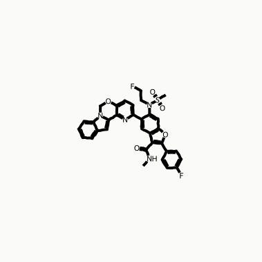 CNC(=O)c1c(-c2ccc(F)cc2)oc2cc(N(CCF)S(C)(=O)=O)c(-c3ccc4c(n3)-c3cc5ccccc5n3CO4)cc12